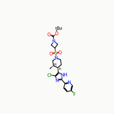 C[C@H]1CN(S(=O)(=O)C2CN(C(=O)OC(C)(C)C)C2)CC[C@H]1c1[nH]c(-c2ccc(F)cn2)nc1Cl